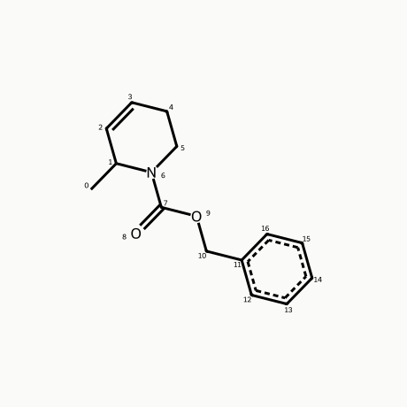 CC1C=CCCN1C(=O)OCc1ccccc1